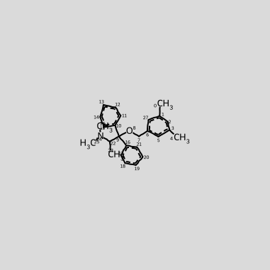 Cc1cc(C)cc(COC(c2ccccc2)(c2ccccc2)C(C)N(C)C)c1